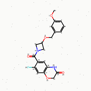 COc1cccc(COC2CN(C(=O)c3cc4c(cc3F)OCC(=O)N4)C2)c1